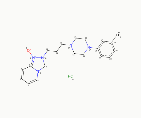 Cl.[O-][N+]1=C2C=CC=CN2CN1CCCN1CCN(c2cccc(C(F)(F)F)c2)CC1